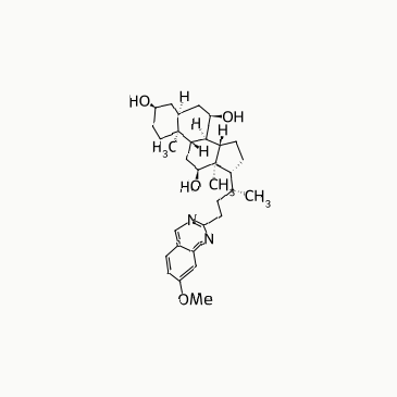 COc1ccc2cnc(CC[C@@H](C)[C@H]3CC[C@H]4[C@@H]5[C@H](O)C[C@@H]6C[C@H](O)CC[C@]6(C)[C@H]5C[C@H](O)[C@]34C)nc2c1